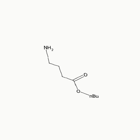 [CH2]CCCOC(=O)CCCN